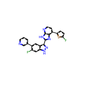 Fc1ccc(-c2ccnc3[nH]c(-c4n[nH]c5cc(F)c(-c6cccnc6)cc45)nc23)s1